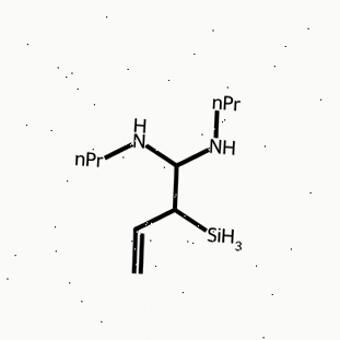 C=CC([SiH3])C(NCCC)NCCC